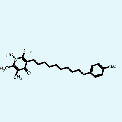 Cc1c(C)n(O)c(C)c(CCCCCCCCCCc2ccc(C(C)(C)C)cc2)c1=O